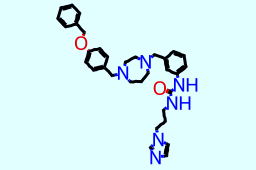 O=C(NCCCn1ccnc1)Nc1cccc(CN2CCCN(Cc3ccc(OCc4ccccc4)cc3)CC2)c1